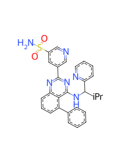 CC(C)C(Nc1nc(-c2cncc(S(N)(=O)=O)c2)nc2cccc(-c3ccccc3)c12)c1ccccn1